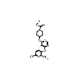 Cc1nc(Cl)ccc1Oc1ncnc(OC2CCN(C(=O)OC(C)C)CC2)c1C